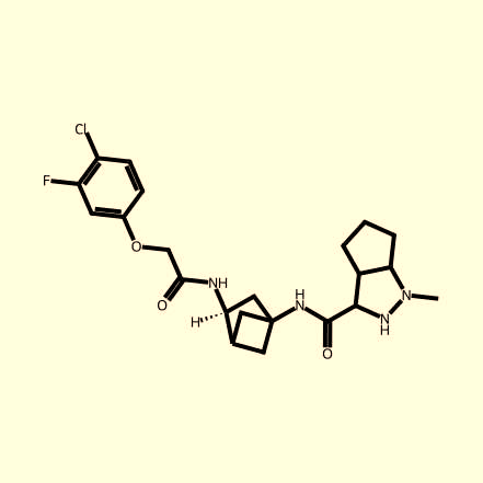 CN1NC(C(=O)NC23CC(C2)[C@@H](NC(=O)COc2ccc(Cl)c(F)c2)C3)C2CCCC21